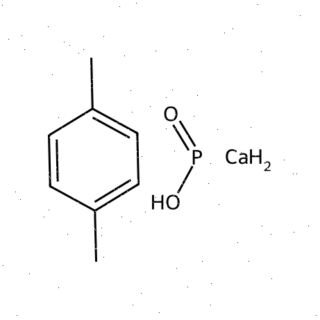 Cc1ccc(C)cc1.O=PO.[CaH2]